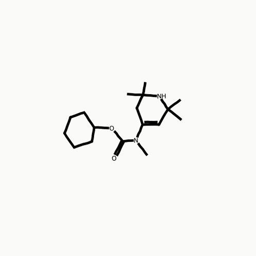 CN(C(=O)OC1CCCCC1)C1=CC(C)(C)NC(C)(C)C1